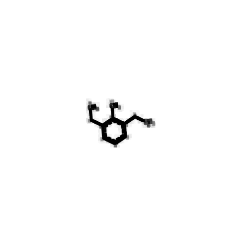 CCc1c[c]cc(CC)c1C